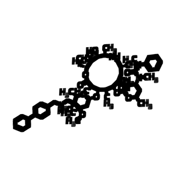 CC[C@H]1OC(=O)[C@H](C)[C@@H](O[C@H]2C[C@@](C)(OC)[C@](O)(CNCc3ccc(-c4ccccc4)cc3)[C@H](C)O2)[C@H](C)[C@@H](O[C@@H]2O[C@H](C)C[C@H](N(C)C(=O)N(C)c3ccccc3)[C@H]2O)[C@](C)(O)C[C@@H](C)CN[C@H](C)[C@@H](O)[C@]1(C)O